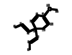 CC=CC1(C=CC)C=CC(OC)=CC1